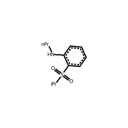 CCCNc1ccccc1S(=O)(=O)C(C)C